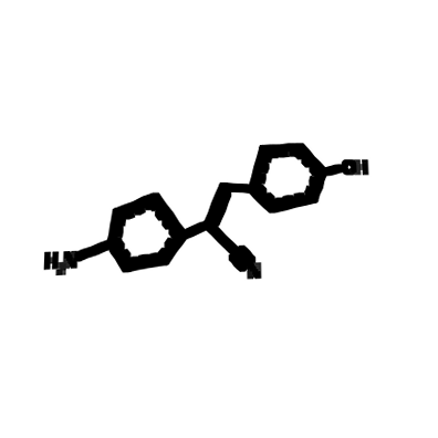 N#C/C(=C\c1ccc(O)cc1)c1ccc(N)cc1